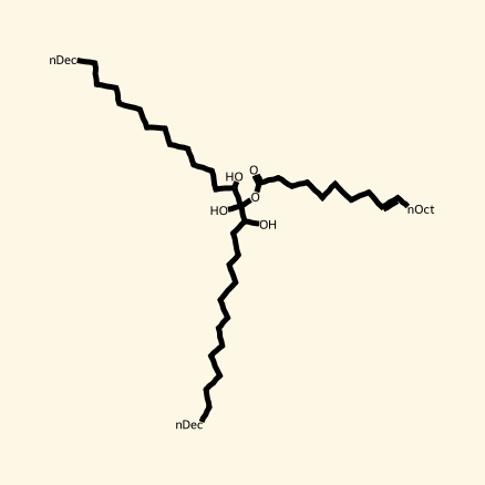 CCCCCCCCC=CCCCCCCCC(=O)OC(O)(C(O)CCCCCCCCCCCCCCCCCCCCCC)C(O)CCCCCCCCCCCCCCCCCCCCCC